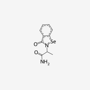 CC(C(N)=O)n1[se]c2ccccc2c1=O